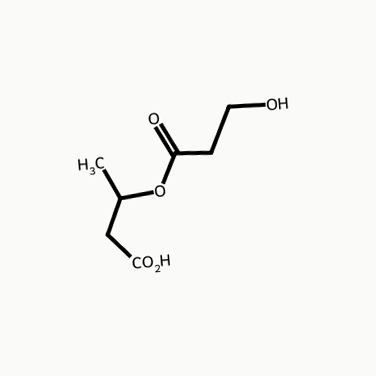 CC(CC(=O)O)OC(=O)CCO